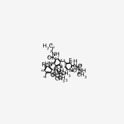 C=CCNC(=O)c1cc(Cc2ccnc(NS(=O)(=O)NC)c2F)c(F)c(F)c1Nc1cc(O[Si](C)(C)C(C)(C)C)c(I)cc1F